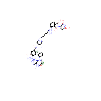 COc1cc(C(=O)NC2CCN(CCCCCNc3cccc4c3C(=O)N(C3CCC(=O)NC3=O)C4=O)CC2)c(F)cc1Nc1ncc2c(n1)N(C1CCCC1)CC(F)(F)C(=O)N2C